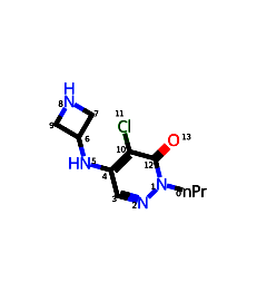 CCCn1ncc(NC2CNC2)c(Cl)c1=O